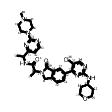 CC(NC(=O)C(C)N1Cc2ccc(-c3nc(NC4CCOCC4)ncc3Cl)cc2C1=O)c1ccnc(N2CCN(C)CC2)n1